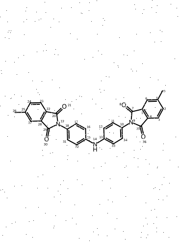 Cc1ccc2c(c1)C(=O)N(c1ccc(Nc3ccc(N4C(=O)c5ccc(C)cc5C4=O)cc3)cc1)C2=O